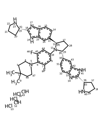 CC1(C)CCN(c2c(F)cc(N3[C@@H](c4ccc5nc([C@@H]6CCCN6)[nH]c5c4)CC[C@@H]3c3ccc4nc([C@@H]5CCCN5)[nH]c4c3)cc2F)CC1.Cl.Cl.Cl.Cl.Cl